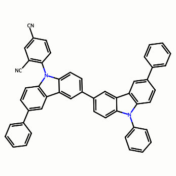 N#Cc1ccc(-n2c3ccc(-c4ccccc4)cc3c3cc(-c4ccc5c(c4)c4cc(-c6ccccc6)ccc4n5-c4ccccc4)ccc32)c(C#N)c1